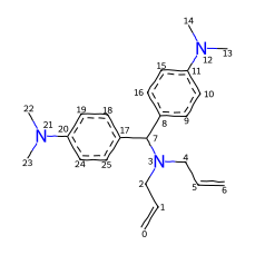 C=CCN(CC=C)C(c1ccc(N(C)C)cc1)c1ccc(N(C)C)cc1